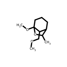 COCC1C2CCCC1(OC)OC2C